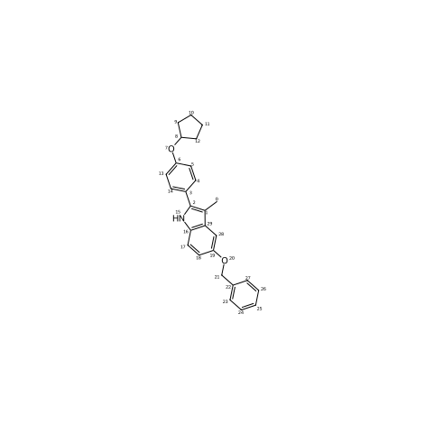 Cc1c(-c2ccc(OC3CCCC3)cc2)[nH]c2ccc(OCc3ccccc3)cc12